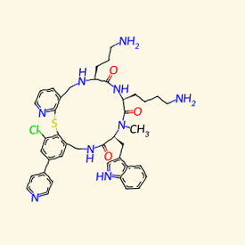 CN1C(=O)[C@H](CCCCN)NC(=O)[C@H](CCCN)NCc2cccnc2Sc2c(Cl)cc(-c3ccncc3)cc2CNC(=O)[C@@H]1Cc1c[nH]c2ccccc12